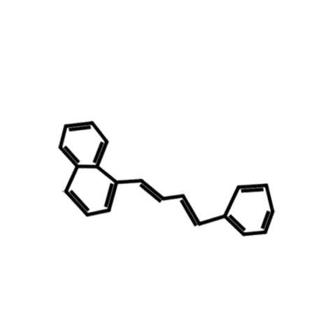 [c]1ccc(C=CC=Cc2ccccc2)c2ccccc12